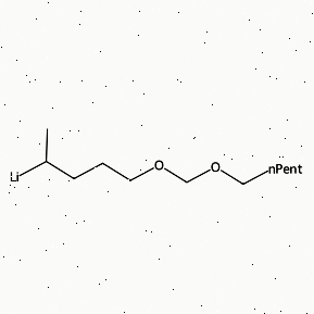 [Li][CH](C)CCCOCOCCCCCC